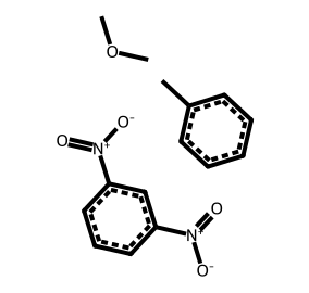 COC.Cc1ccccc1.O=[N+]([O-])c1cccc([N+](=O)[O-])c1